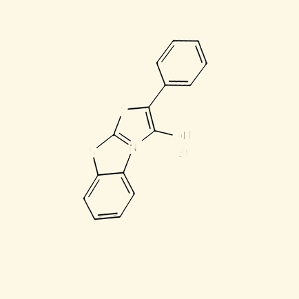 Oc1c(-c2ccccc2)sc2sc3ccccc3[n+]12.[Br-]